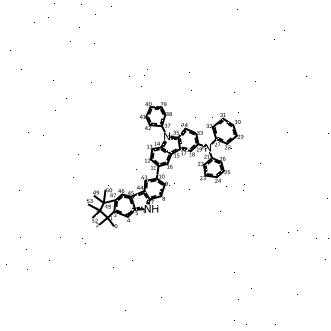 CC1(C)c2cc3[nH]c4ccc(-c5ccc6c(c5)c5cc(N(c7ccccc7)c7ccccc7)ccc5n6-c5ccccc5)cc4c3cc2C(C)(C)C1(C)C